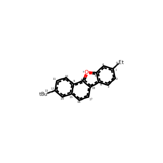 CCc1ccc2c(c1)oc1c3ccc(C(C)(C)C)cc3ccc21